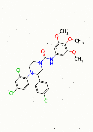 COc1cc(NC(=O)N2CCN(c3ccc(Cl)cc3Cl)C(c3ccc(Cl)cc3)C2)cc(OC)c1OC